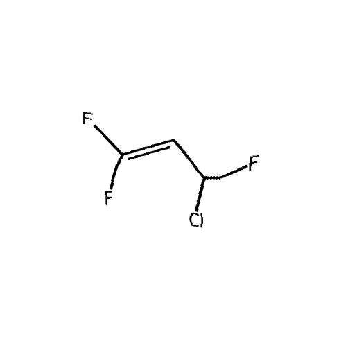 FC(F)=CC(F)Cl